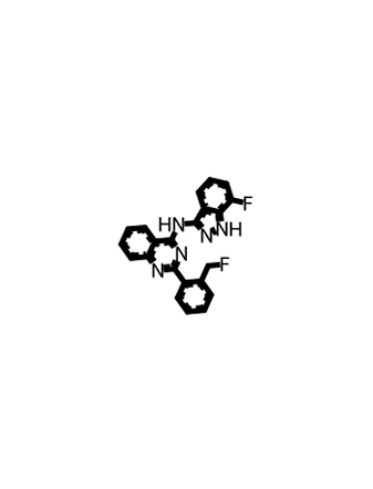 FCc1ccccc1-c1nc(Nc2n[nH]c3c(F)cccc23)c2ccccc2n1